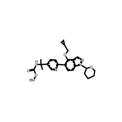 CC(C)(C)OC(=O)NC(C)(C)c1ccc(-c2ccc3c(cnn3C3CCCCO3)c2OCC2CC2)nc1